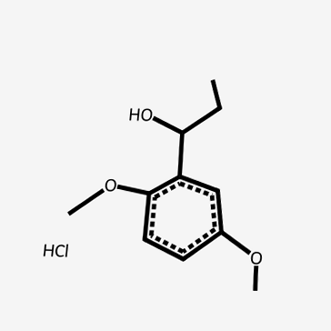 CCC(O)c1cc(OC)ccc1OC.Cl